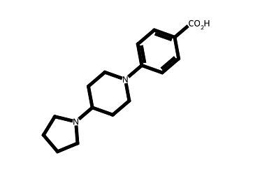 O=C(O)c1ccc(N2CCC(N3CCCC3)CC2)cc1